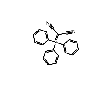 N#CC(C#N)=P(c1ccccc1)(c1ccccc1)c1ccccc1